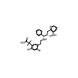 CC(C)(C(=O)O)c1cc(CCN[C@H](c2ccccc2)[C@H]2CNc3cccnc3C2)c(F)cc1F